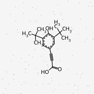 CC(C)(C)c1cc(C#CC(=O)O)cc(C(C)(C)C)c1O